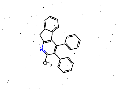 Cc1nc2c(c(-c3ccccc3)c1-c1ccccc1)-c1ccccc1C2